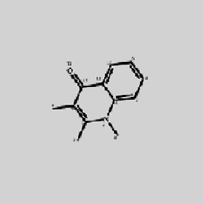 Cc1c(C)n(C)c2ccccc2c1=O